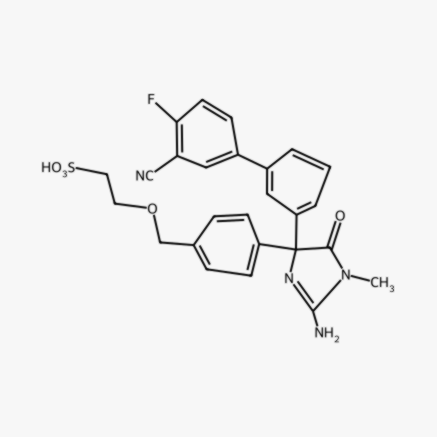 CN1C(=O)C(c2ccc(COCCS(=O)(=O)O)cc2)(c2cccc(-c3ccc(F)c(C#N)c3)c2)N=C1N